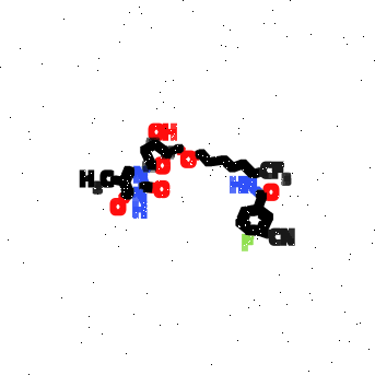 Cc1cn([C@H]2C[C@H](O)[C@@H](COCCCCCC(NC(=O)c3ccc(F)c(C#N)c3)C(F)(F)F)O2)c(=O)[nH]c1=O